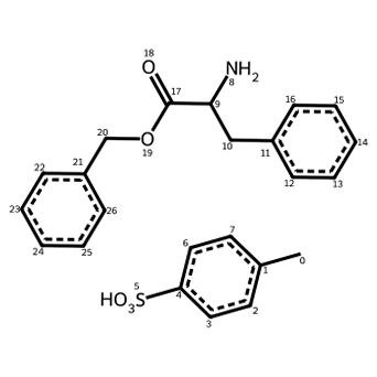 Cc1ccc(S(=O)(=O)O)cc1.NC(Cc1ccccc1)C(=O)OCc1ccccc1